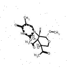 CO[C@@H]1OC[C@](O)(C(C)=O)[C@@](O)(C(C)=O)[C@]1(F)n1cc(C)c(=O)[nH]c1=O